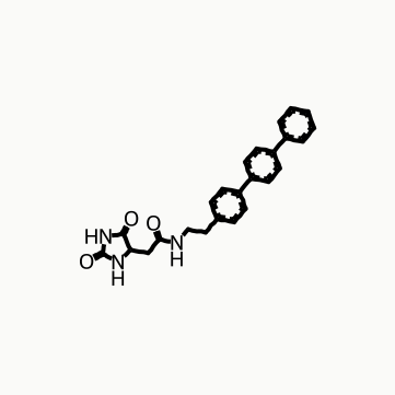 O=C(CC1NC(=O)NC1=O)NCCc1ccc(-c2ccc(-c3ccccc3)cc2)cc1